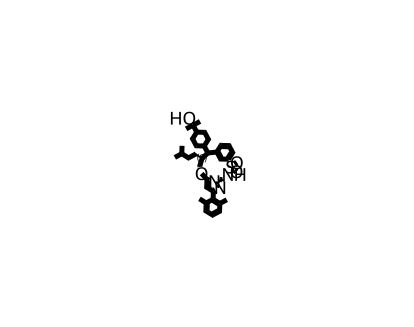 Cc1cccc(C)c1-c1cc2nc(n1)NS(=O)(=O)c1cccc(c1)C(C1CCC(C(C)(C)O)CC1)[C@H](CCC(C)C)CO2